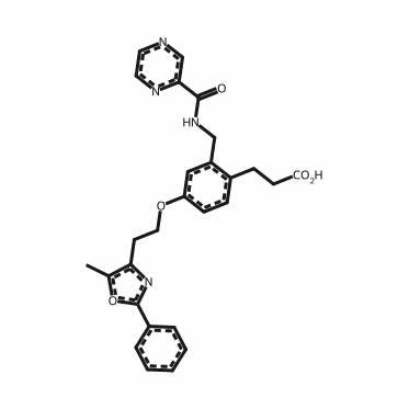 Cc1oc(-c2ccccc2)nc1CCOc1ccc(CCC(=O)O)c(CNC(=O)c2cnccn2)c1